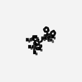 CN(C)C(=O)O[C@@H](CCCO[Si](c1ccccc1)(c1ccccc1)C(C)(C)C)C(=O)OC(C)(C)C